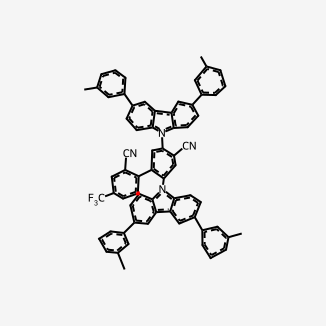 Cc1cccc(-c2ccc3c(c2)c2cc(-c4cccc(C)c4)ccc2n3-c2cc(-c3ccc(C(F)(F)F)cc3C#N)c(-n3c4ccc(-c5cccc(C)c5)cc4c4cc(-c5cccc(C)c5)ccc43)cc2C#N)c1